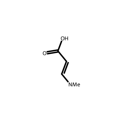 CN/C=C/C(=O)O